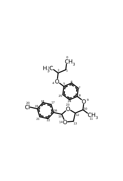 CCC(C)Oc1ccc(OC(C)C2COC(c3ccc(Cl)cc3)O2)cc1